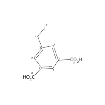 O=C(O)c1cc(CI)cc(C(=O)O)c1